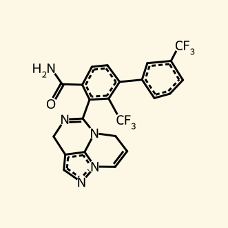 NC(=O)c1ccc(-c2cccc(C(F)(F)F)c2)c(C(F)(F)F)c1C1=NCc2cnn3c2N1CC=C3